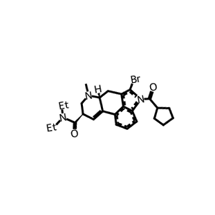 CCN(CC)C(=O)[C@@H]1C=C2c3cccc4c3c(c(Br)n4C(=O)C3CCCC3)C[C@H]2N(C)C1